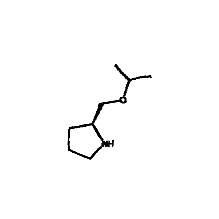 CC(C)OC[C@@H]1CCCN1